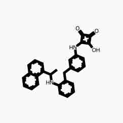 CC(Nc1ccccc1Cc1cccc(Nc2c(O)c(=O)c2=O)c1)c1cccc2ccccc12